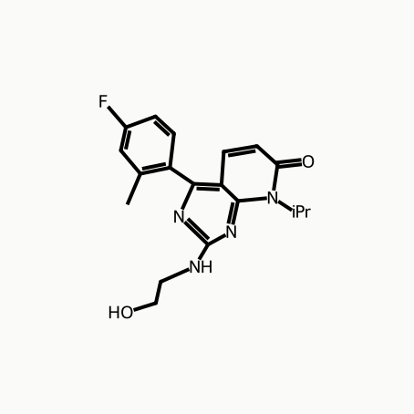 Cc1cc(F)ccc1-c1nc(NCCO)nc2c1ccc(=O)n2C(C)C